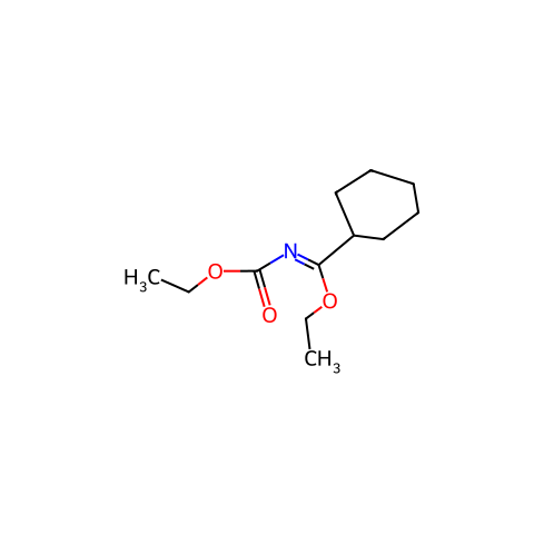 CCOC(=O)N=C(OCC)C1CCCCC1